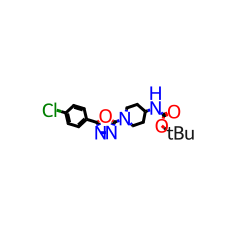 CC(C)(C)OC(=O)NC1CCN(c2nnc(-c3ccc(Cl)cc3)o2)CC1